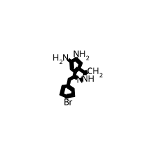 C=C1NN=C(Cc2ccc(Br)cc2)c2cc(N)c(N)cc21